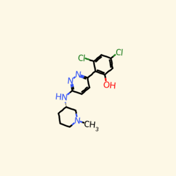 CN1CCC[C@H](Nc2ccc(-c3c(O)cc(Cl)cc3Cl)nn2)C1